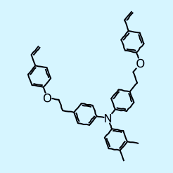 C=Cc1ccc(OCCc2ccc(N(c3ccc(CCOc4ccc(C=C)cc4)cc3)c3ccc(C)c(C)c3)cc2)cc1